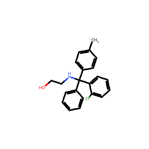 Cc1ccc(C(NCCO)(c2ccccc2)c2ccccc2Cl)cc1